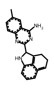 Cc1ccc2nc(C3Nc4cccc5c4=C3CCC=5)nc(N)c2c1